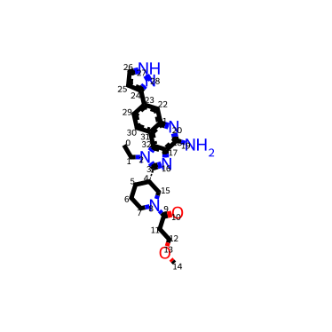 CCn1c([C@H]2CCCN(C(=O)CCOC)C2)nc2c(N)nc3cc(-c4cc[nH]n4)ccc3c21